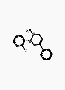 O=[N+]([O-])[C@H]1CC=C(c2ccccc2)C[C@@H]1c1ccccc1Cl